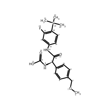 COCc1ccc([C@@H](NC(=O)O)C(=O)Nc2ccc([Si](C)(C)C)c(F)c2)cc1